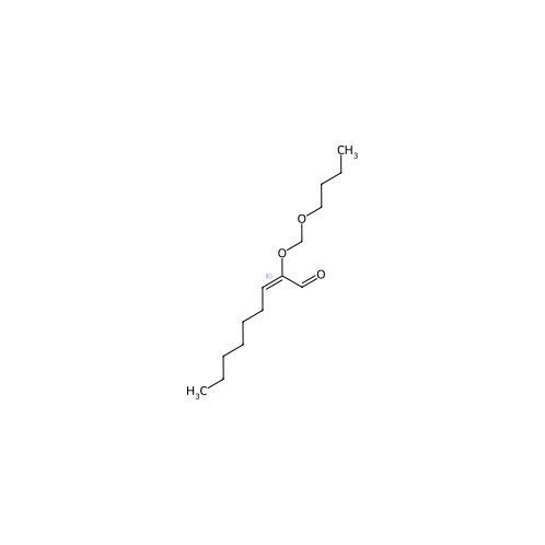 CCCCCC/C=C(\C=O)OCOCCCC